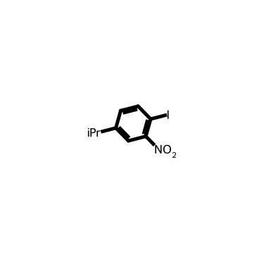 [CH2]C(C)c1ccc(I)c([N+](=O)[O-])c1